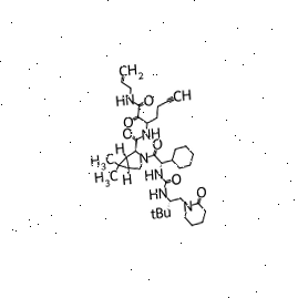 C#CCCC(NC(=O)[C@@H]1[C@@H]2[C@H](CN1C(=O)[C@@H](NC(=O)N[C@H](CN1CCCCC1=O)C(C)(C)C)C1CCCCC1)C2(C)C)C(=O)C(=O)NCC=C